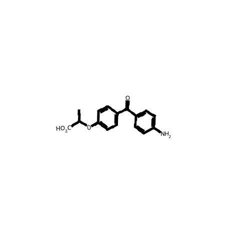 CC(Oc1ccc(C(=O)c2ccc(N)cc2)cc1)C(=O)O